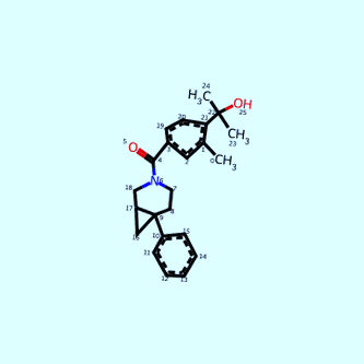 Cc1cc(C(=O)N2CCC3(c4ccccc4)CC3C2)ccc1C(C)(C)O